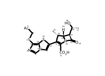 CC(=O)CSc1ncn2cc(C3=C(C(=O)O)N4C(=O)[C@H]([C@@H](C)O)[C@H]4[C@H]3C)sc12